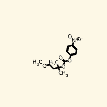 COCCC(C)(C)OC(=O)Oc1ccc([N+](=O)[O-])cc1